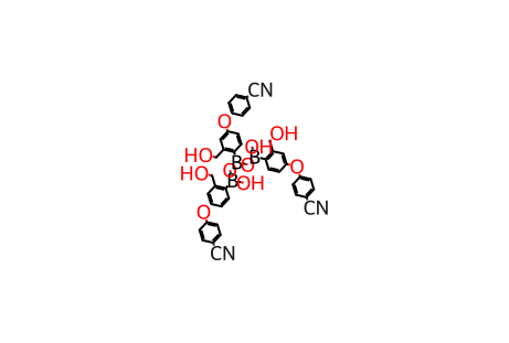 N#Cc1ccc(Oc2ccc(B(O)OB(OB(O)c3ccc(Oc4ccc(C#N)cc4)cc3CO)c3ccc(Oc4ccc(C#N)cc4)cc3CO)c(CO)c2)cc1